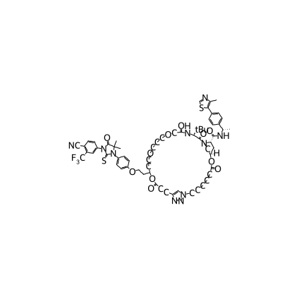 Cc1ncsc1-c1ccc([C@H](C)NC(=O)[C@@H]2C[C@@H]3CN2C(=O)[C@H](C(C)(C)C)NC(=O)COCCCOCCC(CCOc2ccc(N4C(=S)N(c5ccc(C#N)c(C(F)(F)F)c5)C(=O)C4(C)C)cc2)OC(=O)CCc2cn(nn2)CCCCCC(=O)O3)cc1